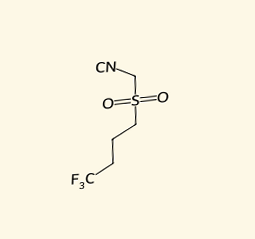 [C-]#[N+]CS(=O)(=O)CCCC(F)(F)F